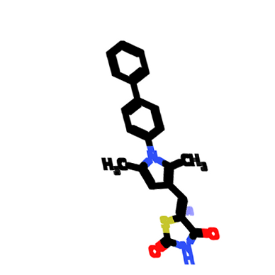 Cc1cc(/C=C2\SC(=O)NC2=O)c(C)n1-c1ccc(-c2ccccc2)cc1